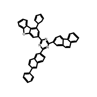 C1=CCC(c2cc(-c3nc(-c4ccc5cc(-c6ccccc6)ccc5c4)nc(-c4ccc5c(ccc6ccccc65)c4)n3)cc3oc4ccccc4c23)C=C1